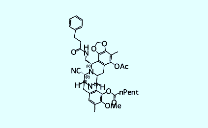 CCCCCC(=O)Oc1c(OC)c(C)cc2c1[C@H]1C3Cc4c(OC(C)=O)c(C)c5c(c4[C@H](CNC(=O)CCc4ccccc4)N3[C@@H](C#N)[C@@H](C2)N1C)OCO5